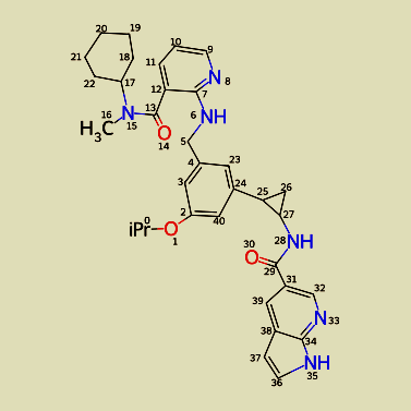 CC(C)Oc1cc(CNc2ncccc2C(=O)N(C)C2CCCCC2)cc(C2CC2NC(=O)c2cnc3[nH]ccc3c2)c1